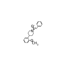 COc1ccccc1C1CCN([S+]([O-])Cc2ccccc2)CC1